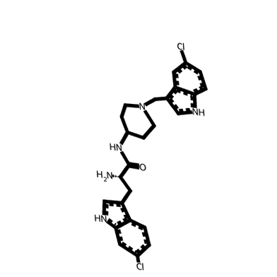 N[C@@H](Cc1c[nH]c2cc(Cl)ccc12)C(=O)NC1CCN(Cc2c[nH]c3ccc(Cl)cc23)CC1